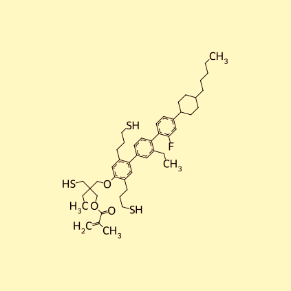 C=C(C)C(=O)OCC(CC)(CS)COc1cc(CCCS)c(-c2ccc(-c3ccc(C4CCC(CCCCC)CC4)cc3F)c(CC)c2)cc1CCCS